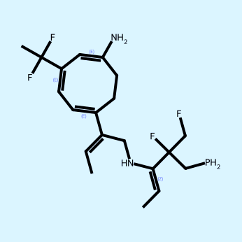 CC=C(CN/C(=C\C)C(F)(CF)CP)/C1=C/C=C(C(C)(F)F)\C=C(\N)CC1